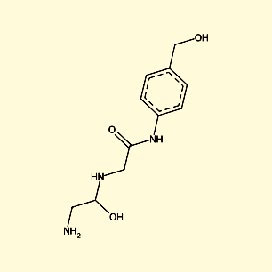 NCC(O)NCC(=O)Nc1ccc(CO)cc1